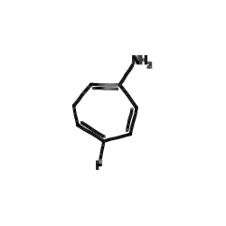 NC1=CCC=C(F)C=C1